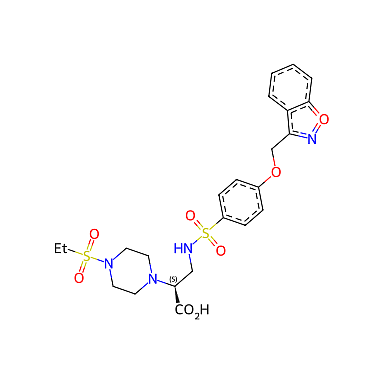 CCS(=O)(=O)N1CCN([C@@H](CNS(=O)(=O)c2ccc(OCc3noc4ccccc34)cc2)C(=O)O)CC1